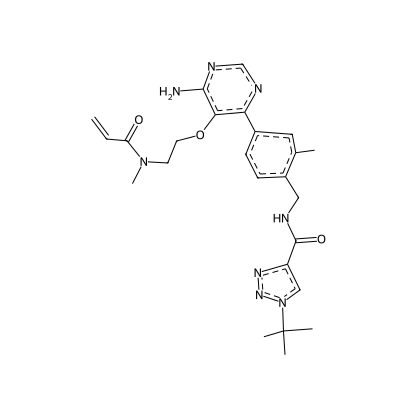 C=CC(=O)N(C)CCOc1c(N)ncnc1-c1ccc(CNC(=O)c2cn(C(C)(C)C)nn2)c(C)c1